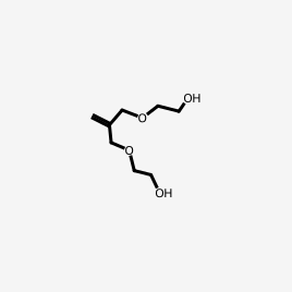 C=C(COCCO)COCCO